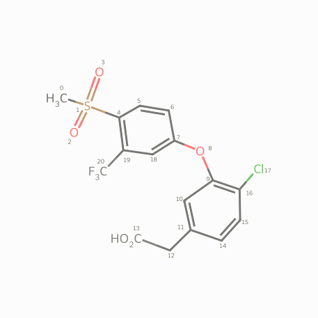 CS(=O)(=O)c1ccc(Oc2cc(CC(=O)O)ccc2Cl)cc1C(F)(F)F